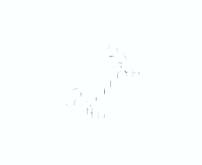 CCCC/N=C(\C=C\C1=C(Cl)C(=C/C=C2/N(CCCC)c3ccc4ccccc4c3C2(C)C)/CCC1)C(C)(C)C1=CC=CC2CC=CC=C12